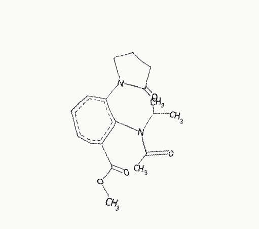 COC(=O)c1cccc(N2CCCC2=O)c1N(C(C)=O)C(C)C